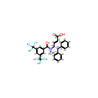 CN(C(=O)c1cc(C(F)(F)F)cc(C(F)(F)F)c1)[C@H](C=CC(=O)O)C(c1ccccc1)c1ccccc1